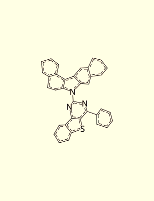 c1ccc(-c2nc(-n3c4cc5ccccc5cc4c4c5ccccc5ccc43)nc3c2sc2ccccc23)cc1